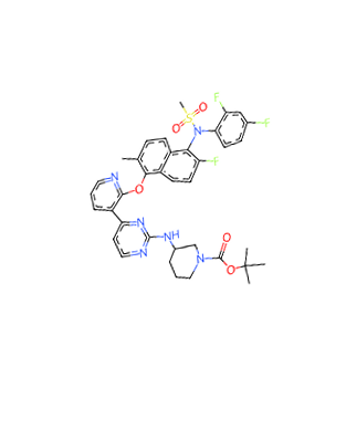 Cc1ccc2c(N(c3ccc(F)cc3F)S(C)(=O)=O)c(F)ccc2c1Oc1ncccc1-c1ccnc(NC2CCCN(C(=O)OC(C)(C)C)C2)n1